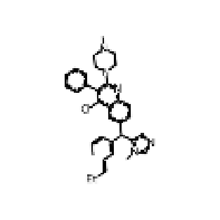 C\C=C/C(=C\C=C\CC)C(c1ccc2nc(N3CCN(C)CC3)c(-c3ccccc3)c(Cl)c2c1)c1cncn1C